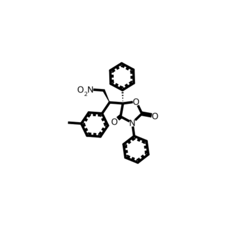 Cc1cccc([C@@H](C[N+](=O)[O-])[C@@]2(c3ccccc3)OC(=O)N(c3ccccc3)C2=O)c1